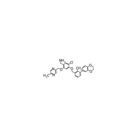 Cc1cnc(COc2cc(OCc3cccc(-c4ccc5c(c4)OCCO5)c3C)c(Cl)cc2CN)cn1